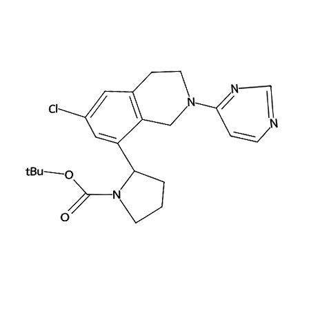 CC(C)(C)OC(=O)N1CCCC1c1cc(Cl)cc2c1CN(c1ccncn1)CC2